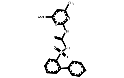 COc1cc(C)nc(NC(=O)NS(=O)(=O)c2ccccc2-c2ccccc2)n1